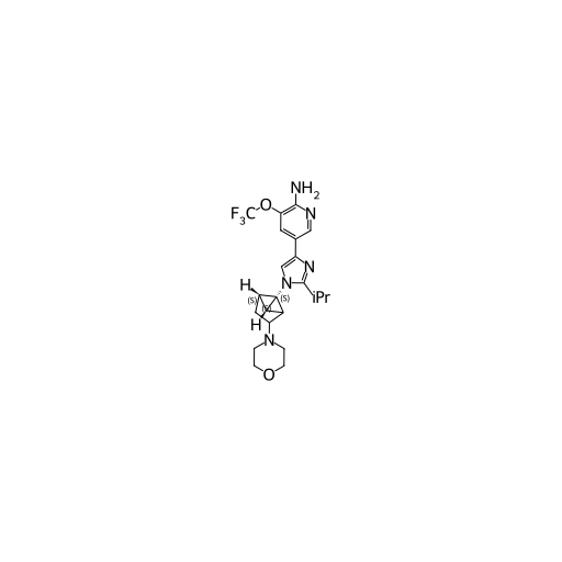 CC(C)c1nc(-c2cnc(N)c(OC(F)(F)F)c2)cn1[C@@]12C3C(N4CCOCC4)C[C@H]1[C@@H]32